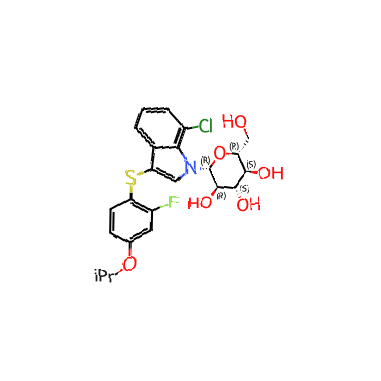 CC(C)Oc1ccc(Sc2cn([C@@H]3O[C@H](CO)[C@@H](O)[C@H](O)[C@H]3O)c3c(Cl)cccc23)c(F)c1